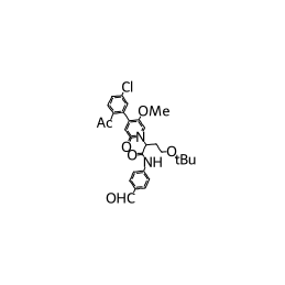 COc1cn(C(CCOC(C)(C)C)C(=O)Nc2ccc(C=O)cc2)c(=O)cc1-c1cc(Cl)ccc1C(C)=O